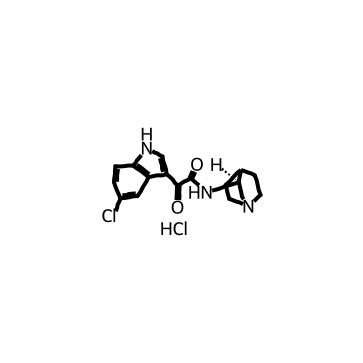 Cl.O=C(N[C@@H]1CN2CCC1CC2)C(=O)c1c[nH]c2ccc(Cl)cc12